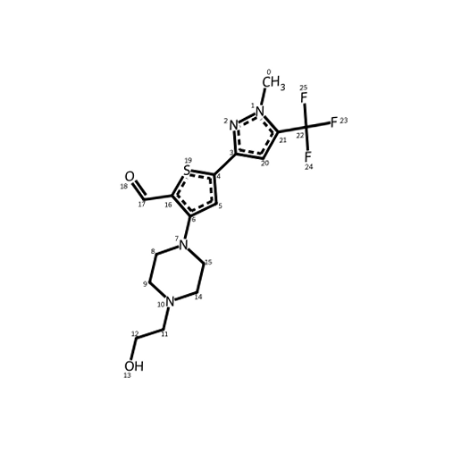 Cn1nc(-c2cc(N3CCN(CCO)CC3)c(C=O)s2)cc1C(F)(F)F